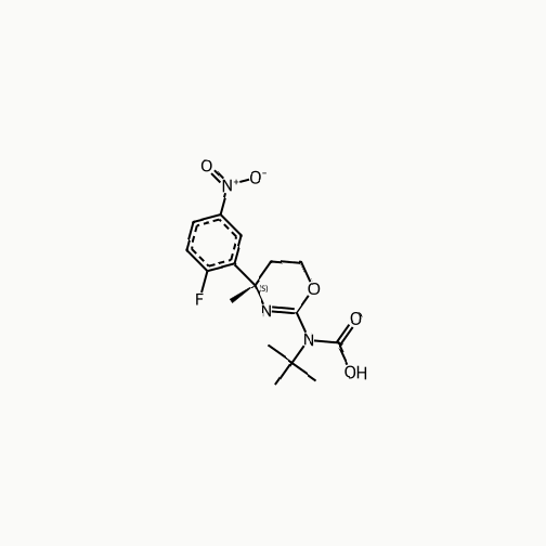 CC(C)(C)N(C(=O)O)C1=N[C@](C)(c2cc([N+](=O)[O-])ccc2F)CCO1